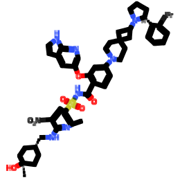 Cc1nc(NC[C@H]2CC[C@](C)(O)CC2)c([N+](=O)[O-])cc1S(=O)(=O)NC(=O)c1ccc(N2CCC3(CC2)CC(N2CCC[C@@H]2c2ccccc2C(C)C)C3)cc1Oc1cnc2[nH]ccc2c1